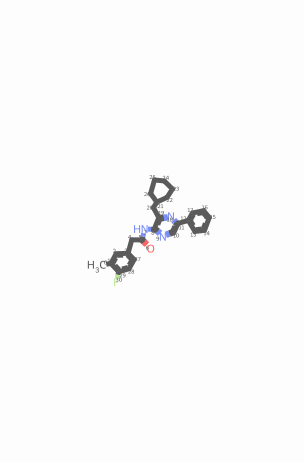 Cc1cc(CC(=O)Nc2ncc(-c3ccccc3)nc2CC2CCCCC2)ccc1F